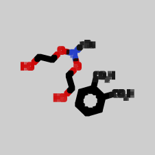 CCCCN(OCCO)OCCO.O=C(O)c1ccccc1C(=O)O